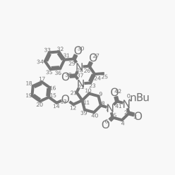 CCCCN1C(=O)CC(=O)N(C2CCC(COCc3ccccc3)(Cn3cc(C)c(=O)n(C(=O)c4ccccc4)c3=O)CC2)C1=O